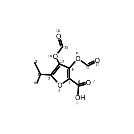 CC(C)c1oc(C(=O)O)c(OC=O)c1OC=O